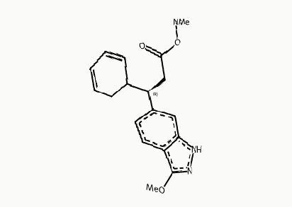 CNOC(=O)C[C@@H](c1ccc2c(OC)n[nH]c2c1)C1C=CC=CC1